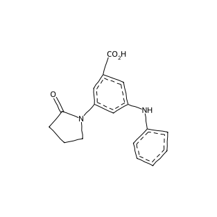 O=C(O)c1cc(Nc2ccccc2)cc(N2CCCC2=O)c1